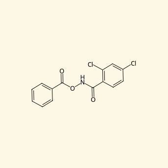 O=C(ONC(=O)c1ccc(Cl)cc1Cl)c1ccccc1